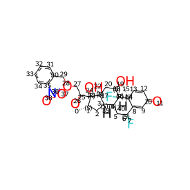 C[C@H]1C[C@H]2[C@@H]3C[C@H](F)C4=CC(=O)C=C[C@]4(C)[C@@]3(F)[C@@H](O)C[C@]2(C)[C@@]1(O)C(=O)COCc1ccccc1[N+](=O)[O-]